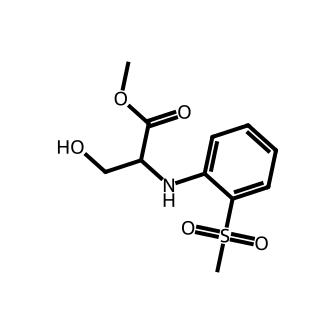 COC(=O)C(CO)Nc1ccccc1S(C)(=O)=O